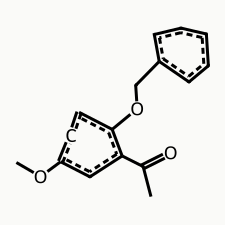 COc1ccc(OCc2ccccc2)c(C(C)=O)c1